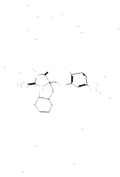 CN1C(=N)NC(COc2cc(C(F)(F)F)ccc2F)(CC2CCCCC2)C1=O